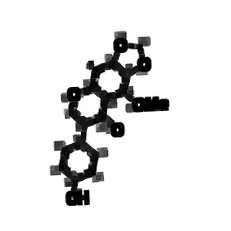 COc1c2c(cc3occ(-c4ccc(O)cc4)c(=O)c13)OCO2